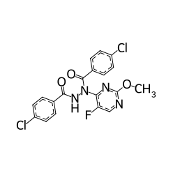 COc1ncc(F)c(N(NC(=O)c2ccc(Cl)cc2)C(=O)c2ccc(Cl)cc2)n1